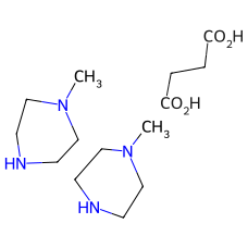 CN1CCNCC1.CN1CCNCC1.O=C(O)CCC(=O)O